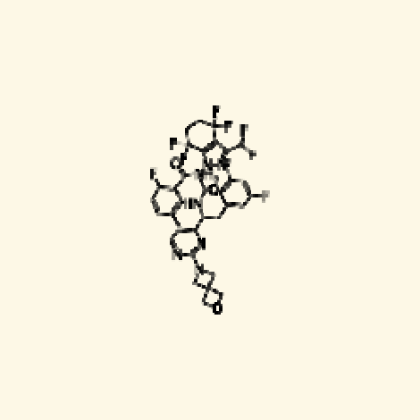 NC(=O)c1cc(-c2cnc(N3CC4(COC4)C3)nc2C(Cc2cc(F)cc(F)c2)NC(=O)Cn2nc(C(F)F)c3c2C(F)(F)CCC3(F)F)ccc1F